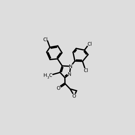 Cc1c(C(=O)C2CO2)nn(-c2ccc(Cl)cc2Cl)c1-c1ccc(Cl)cc1